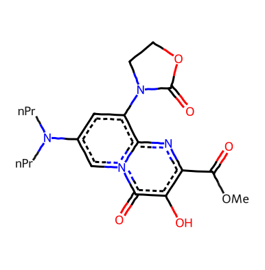 CCCN(CCC)c1cc(N2CCOC2=O)c2nc(C(=O)OC)c(O)c(=O)n2c1